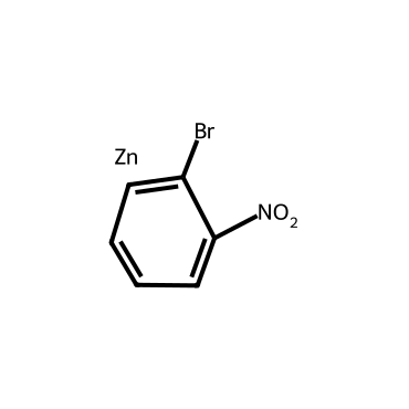 O=[N+]([O-])c1ccccc1Br.[Zn]